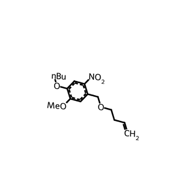 C=CCCOCc1cc(OC)c(OCCCC)cc1[N+](=O)[O-]